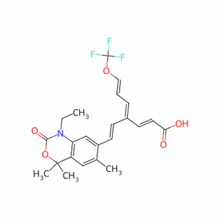 CCN1C(=O)OC(C)(C)c2cc(C)c(/C=C/C(/C=C/C(=O)O)=C\C=C\OC(F)(F)F)cc21